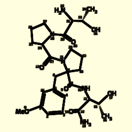 COc1cccc(CC2(C(=O)NC(C(N)=O)[C@@H](C)O)CCCN2C(=O)C2CCCN2C(=O)C(N)[C@H](C)O)c1